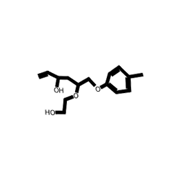 C=CC(O)CC(COc1ccc(C)cc1)OCCO